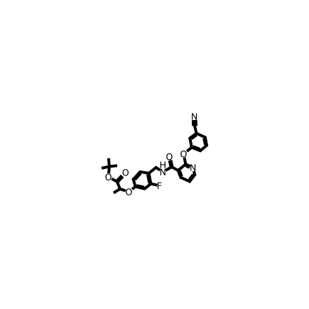 CC(Oc1ccc(CNC(=O)c2cccnc2Oc2cccc(C#N)c2)c(F)c1)C(=O)OC(C)(C)C